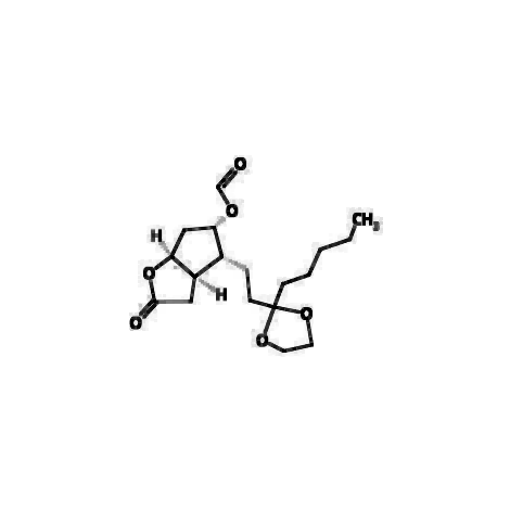 CCCCCC1(CC[C@@H]2[C@H]3CC(=O)O[C@H]3C[C@@H]2OC=O)OCCO1